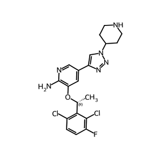 C[C@@H](Oc1cc(-c2cn(C3CCNCC3)nn2)cnc1N)c1c(Cl)ccc(F)c1Cl